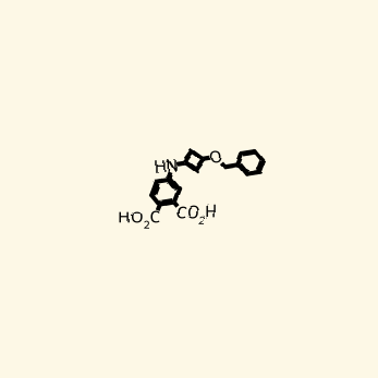 O=C(O)c1ccc(NC2CC(OCc3ccccc3)C2)cc1C(=O)O